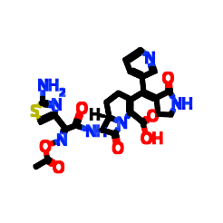 CC(=O)ON=C(C(=O)N[C@@H]1C(=O)N2C(C(=O)O)=C(C(=C3CCNC3=O)c3cccnc3)CC[C@H]12)c1csc(N)n1